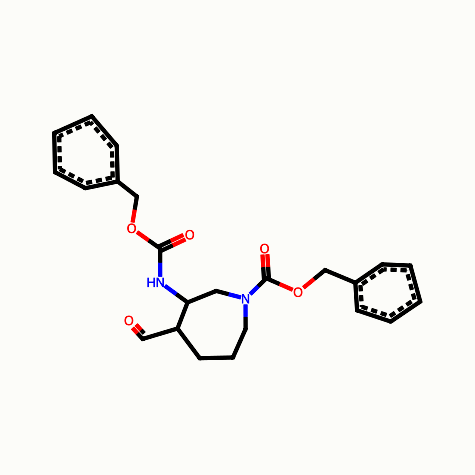 O=CC1CCCN(C(=O)OCc2ccccc2)CC1NC(=O)OCc1ccccc1